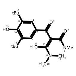 CNC(=O)C(C(=O)c1cc(C(C)(C)C)c(O)c(C(C)(C)C)c1)=C(C)N(C)C